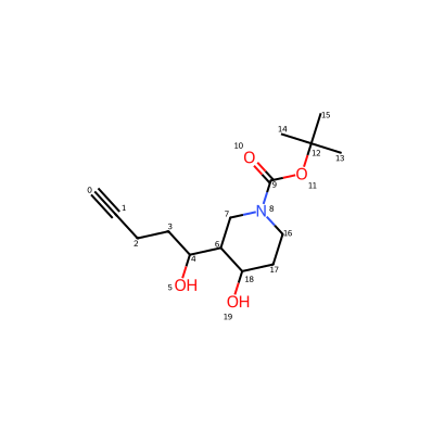 C#CCCC(O)C1CN(C(=O)OC(C)(C)C)CCC1O